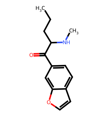 CCCC(NC)C(=O)c1ccc2ccoc2c1